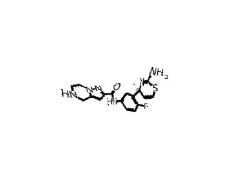 C[C@@]1(c2cc(NC(=O)c3cc4n(n3)CCNC4)ccc2F)C=CSC(N)=N1